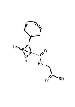 O=C(O)CNC(=O)[C@]12NP1(=O)C2c1ccccc1